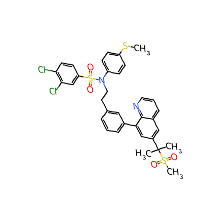 CSc1ccc(N(CCc2cccc(-c3cc(C(C)(C)S(C)(=O)=O)cc4cccnc34)c2)S(=O)(=O)c2ccc(Cl)c(Cl)c2)cc1